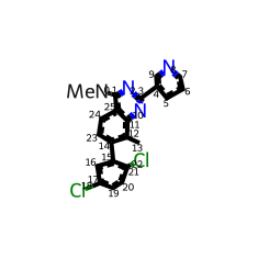 CNc1nc(-c2cccnc2)nc2c(C)c(-c3cc(Cl)ccc3Cl)ccc12